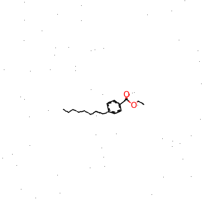 CCCCCCCCc1ccc(C(=O)OCC)cc1